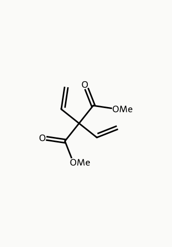 C=CC(C=C)(C(=O)OC)C(=O)OC